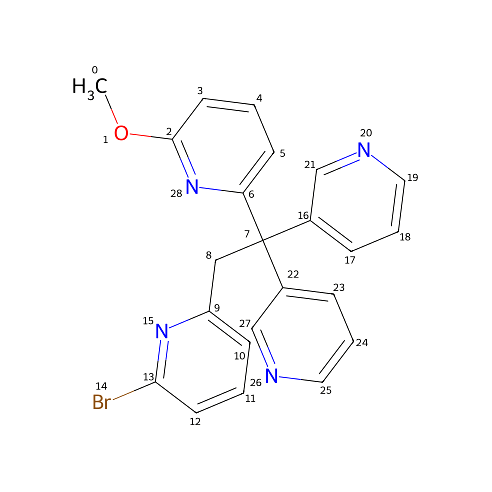 COc1cccc(C(Cc2cccc(Br)n2)(c2cccnc2)c2cccnc2)n1